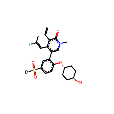 C=Cc1c(/C=C(\C)F)c(-c2cc(S(=O)(=O)CC)ccc2O[C@H]2CC[C@H](O)CC2)cn(C)c1=O